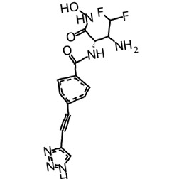 NC(C(F)F)[C@H](NC(=O)c1ccc(C#Cc2c[nH]nn2)cc1)C(=O)NO